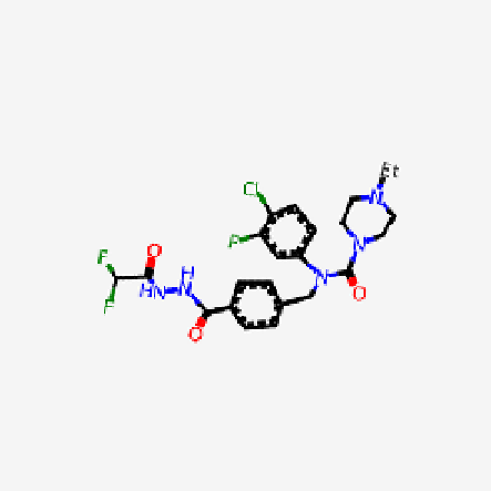 CCN1CCN(C(=O)N(Cc2ccc(C(=O)NNC(=O)C(F)F)cc2)c2ccc(Cl)c(F)c2)CC1